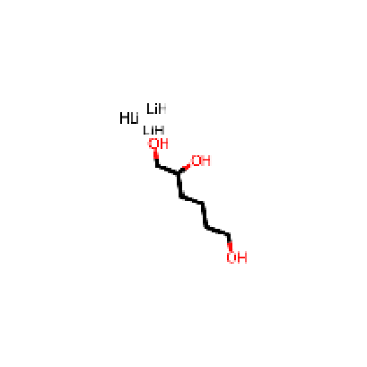 OCCCCC(O)CO.[LiH].[LiH].[LiH]